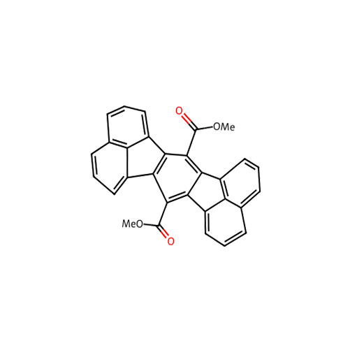 COC(=O)c1c2c3cccc4cccc(c2c(C(=O)OC)c2c5cccc6cccc(c12)c65)c43